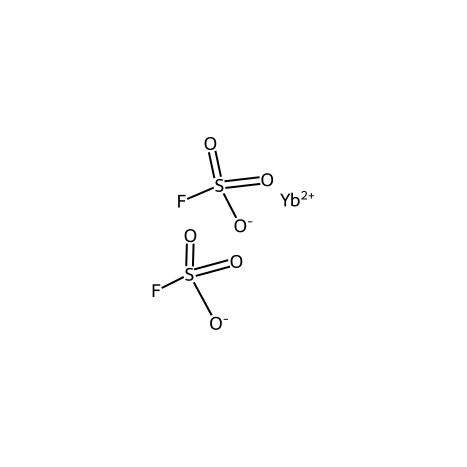 O=S(=O)([O-])F.O=S(=O)([O-])F.[Yb+2]